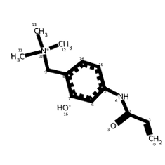 C=CC(=O)Nc1ccc(C[N+](C)(C)C)cc1.[OH-]